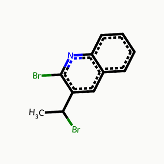 CC(Br)c1cc2ccccc2nc1Br